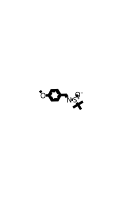 COc1ccc(/C=N/[S+]([O-])C(C)(C)C)cc1